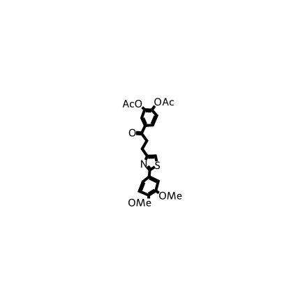 COc1ccc(-c2nc(CCC(=O)c3ccc(OC(C)=O)c(OC(C)=O)c3)cs2)cc1OC